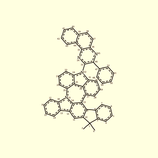 CC1(C)c2ccccc2-c2c1cc1c3ccccc3n3c4cccc5c4c4c(cccc4n5-c4nc5c(ccc6ccccc65)nc4-c4ccccc4)c2c13